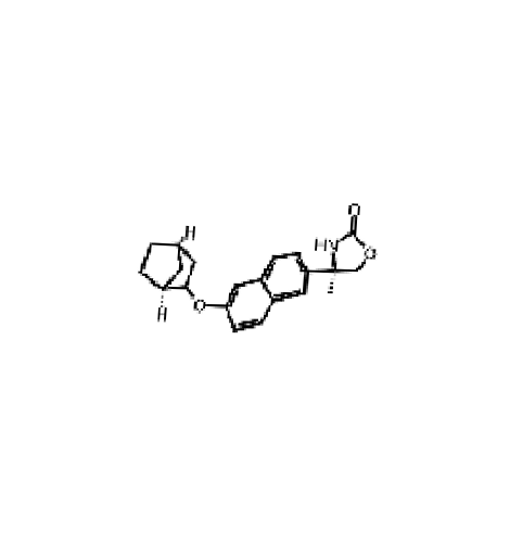 C[C@@]1(c2ccc3cc(OC4C[C@@H]5CC[C@H]4C5)ccc3c2)COC(=O)N1